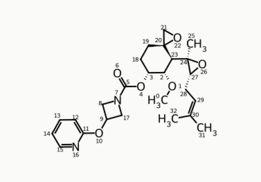 CO[C@@H]1[C@H](OC(=O)N2CC(Oc3ccccn3)C2)CC[C@]2(CO2)[C@H]1[C@@]1(C)O[C@@H]1CC=C(C)C